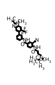 CCc1nc2cc(-c3cccc(NC(=O)c4ccc(NC(=O)C=CCN(C)C(C)(C)C)c(C#N)c4)c3)c(C(F)(F)F)cc2n1C